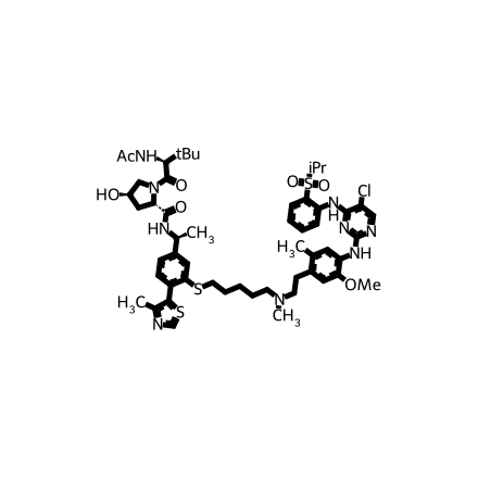 COc1cc(CCN(C)CCCCCSc2cc([C@H](C)NC(=O)[C@@H]3C[C@@H](O)CN3C(=O)[C@@H](NC(C)=O)C(C)(C)C)ccc2-c2scnc2C)c(C)cc1Nc1ncc(Cl)c(Nc2ccccc2S(=O)(=O)C(C)C)n1